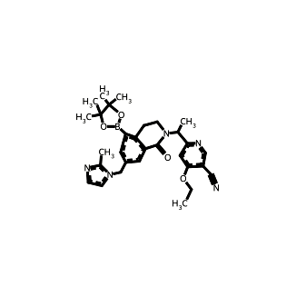 CCOc1cc(C(C)N2CCc3c(B4OC(C)(C)C(C)(C)O4)cc(Cn4ccnc4C)cc3C2=O)ncc1C#N